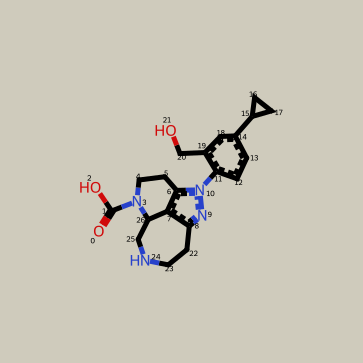 O=C(O)N1CCc2c3c(nn2-c2ccc(C4CC4)cc2CO)CCNCC31